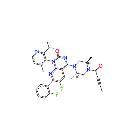 CC#CC(=O)N1C[C@H](C)N(c2nc(=O)n(-c3c(C)ccnc3C(C)C)c3nc(-c4ccccc4F)c(F)cc23)C[C@H]1C